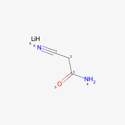 N#CCC(N)=O.[LiH]